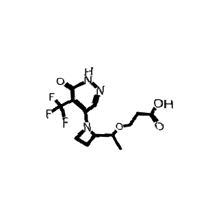 CC(OCCC(=O)O)C1CCN1c1cn[nH]c(=O)c1C(F)(F)F